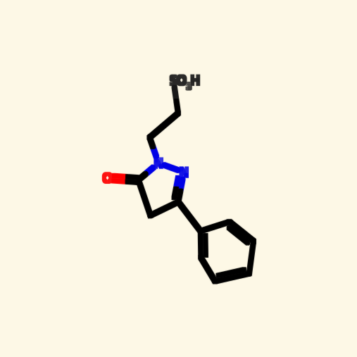 O=C1CC(c2ccccc2)=NN1CCS(=O)(=O)O